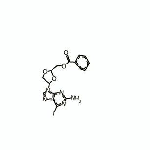 Nc1nc(I)c2ncn([C@H]3CO[C@@H](COC(=O)c4ccccc4)O3)c2n1